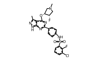 Cc1n[nH]c2nc(-c3ccc(NS(=O)(=O)c4cccc(Cl)c4F)cc3)nc(O[C@@H]3CN(C)C[C@@H]3F)c12